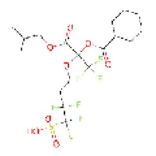 CC(C)COC(=O)C(OCCC(F)(F)C(F)(F)S(=O)(=O)O)(OC(=O)C1CCCCC1)C(F)(F)F